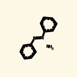 N.c1ccc(N=Nc2ccccc2)cc1